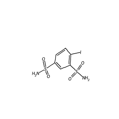 NS(=O)(=O)c1ccc(I)c(S(N)(=O)=O)c1